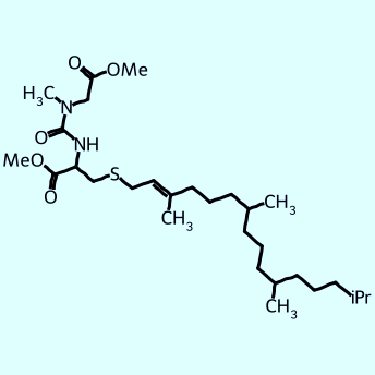 COC(=O)CN(C)C(=O)NC(CSC/C=C(\C)CCCC(C)CCCC(C)CCCC(C)C)C(=O)OC